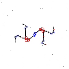 CCCCC/C=C\C/C=C\CCCCCCCCOC(CCCCCCC/C=C\C/C=C\CCCCC)O[Si](C)(C)OCCCCCCN1CCN(CCCCCCO[Si](C)(C)OC(CCCCCCC/C=C\C/C=C\CCCCC)OCCCCCCCC/C=C\C/C=C\CCCCC)CC1